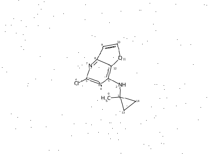 CC1(Nc2nc(Cl)nc3ccoc23)CC1